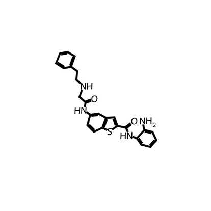 Nc1ccccc1NC(=O)c1cc2cc(NC(=O)CNCCc3ccccc3)ccc2s1